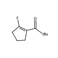 CC(C)(C)C(=O)C1=C(F)CCC1